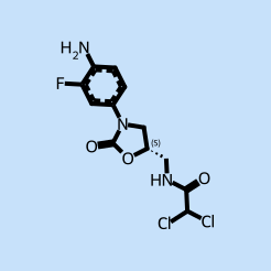 Nc1ccc(N2C[C@H](CNC(=O)C(Cl)Cl)OC2=O)cc1F